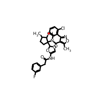 Cc1onc2c1c(=O)n(C1(C3OC=C(NC(=O)Cc4cccc(F)c4)O3)CCC(C)C1C)c1cccc(Cl)c21